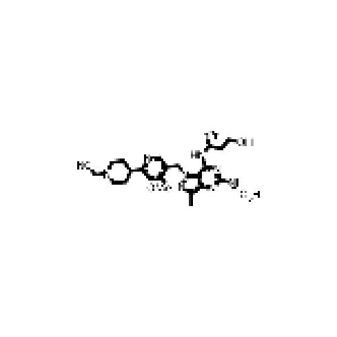 CCCC(CCO)Nc1nc(NC(=O)O)nc2c(C)nn(Cc3cnc(C4CCN(CC#N)CC4)cc3OC)c12